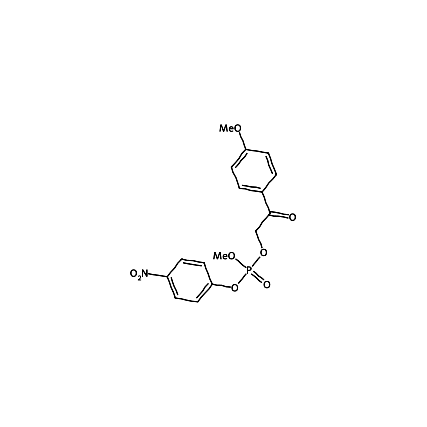 COc1ccc(C(=O)COP(=O)(OC)Oc2ccc([N+](=O)[O-])cc2)cc1